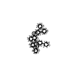 c1ccc(-c2ccc(N(c3cc4c5cc(-c6ccccc6)c(-c6ccccc6)cc5oc4c4ccccc34)c3cccc4c3oc3ccccc34)cc2)cc1